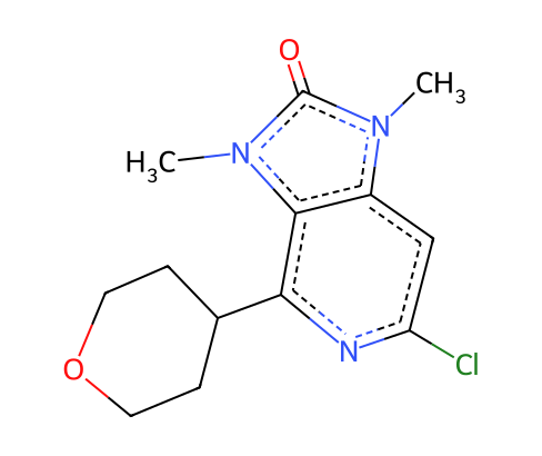 Cn1c(=O)n(C)c2c(C3CCOCC3)nc(Cl)cc21